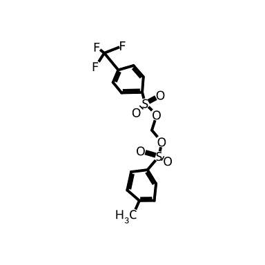 Cc1ccc(S(=O)(=O)OCOS(=O)(=O)c2ccc(C(F)(F)F)cc2)cc1